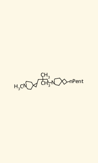 CCCCCC1CC2(CCN(CCC(C)(C)CC3CC34CCN(C)CC4)CC2)C1